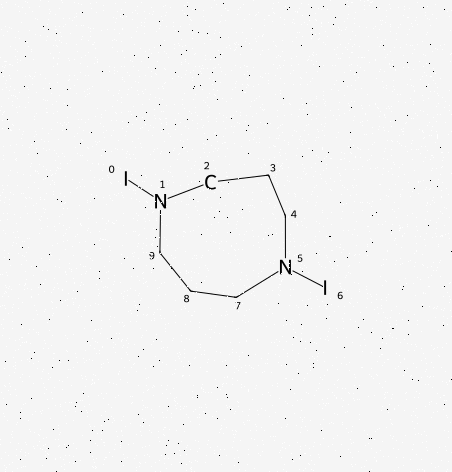 IN1CCCN(I)CCC1